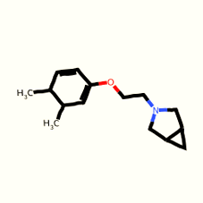 CC1C=CC(OCCN2CC3CC3C2)=CC1C